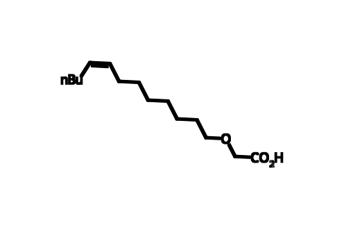 CCCC/C=C\CCCCCCCOCC(=O)O